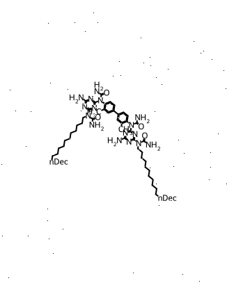 CCCCCCCCCCCCCCCCCCCCCN(C(N)=O)c1nc(N)nc(N(C(N)=O)c2ccc(-c3ccc(N(C(N)=O)c4nc(N)nc(N(CCCCCCCCCCCCCCCCCCCCC)C(N)=O)n4)c(C)c3)cc2C)n1